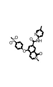 Cc1ccc(NC(=O)c2cc(Oc3ccc(S(C)(=O)=O)cc3)c3ccn(C)c(=O)c3c2)nc1